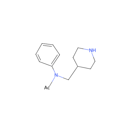 CC(=O)N(CC1CCNCC1)c1ccccc1